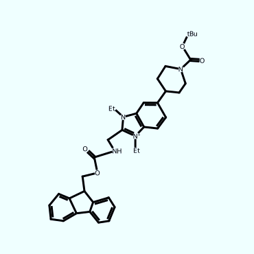 CCn1c(CNC(=O)OCC2c3ccccc3-c3ccccc32)[n+](CC)c2ccc(C3CCN(C(=O)OC(C)(C)C)CC3)cc21